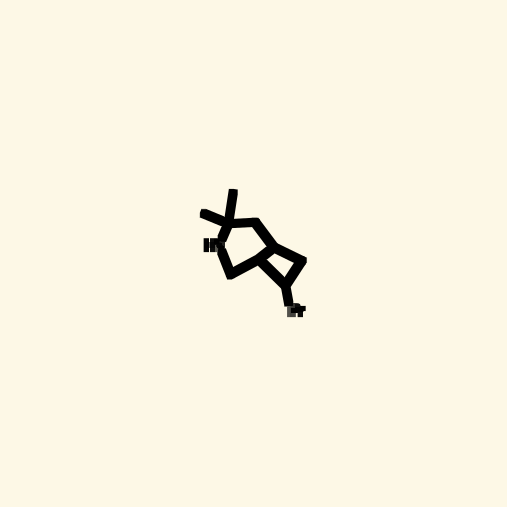 CC(C)C1CC2CC(C)(C)NCC21